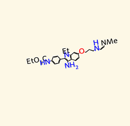 CCOC(=O)Nc1ccc(-c2c(N)c3ccc(OCCCN/C=C\NC)cc3n2CC)cc1